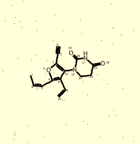 C#Cc1oc(/C=C\C)c(C=C)c1N1CCC(=O)NC1=O